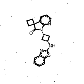 O=C1N([C@H]2C[C@H](Nc3nc4ccccc4s3)C2)c2ncccc2C12CCC2